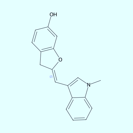 Cn1cc(/C=C2/Cc3ccc(O)cc3O2)c2ccccc21